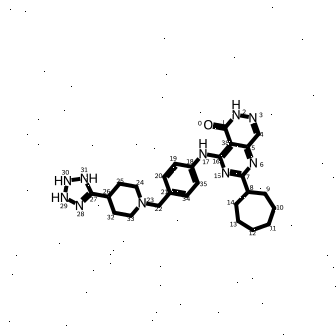 O=c1[nH]ncc2nc(C3CCCCCC3)nc(Nc3ccc(CN4CCC(C5=NNNN5)CC4)cc3)c12